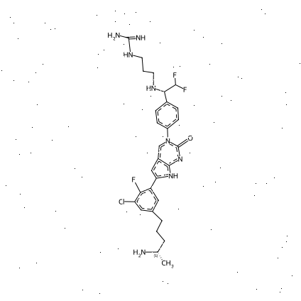 C[C@H](N)CCCc1cc(Cl)c(F)c(-c2cc3cn(-c4ccc(C(NCCCNC(=N)N)C(F)F)cc4)c(=O)nc3[nH]2)c1